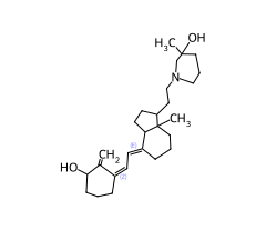 C=C1/C(=C\C=C2/CCCC3(C)C(CCN4CCCC(C)(O)C4)CCC23)CCCC1O